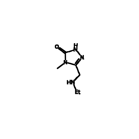 CCNCc1n[nH]c(=O)n1C